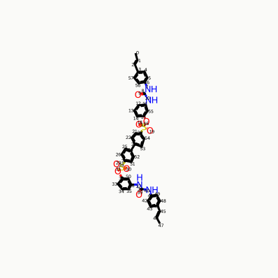 CC=Cc1ccc(NC(=O)Nc2cccc(OS(=O)(=O)c3ccc(-c4ccc(S(=O)(=O)Oc5cccc(NC(=O)Nc6ccc(C=CC)cc6)c5)cc4)cc3)c2)cc1